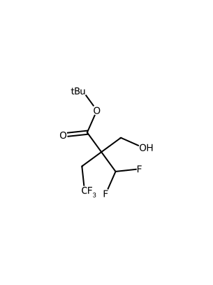 CC(C)(C)OC(=O)C(CO)(CC(F)(F)F)C(F)F